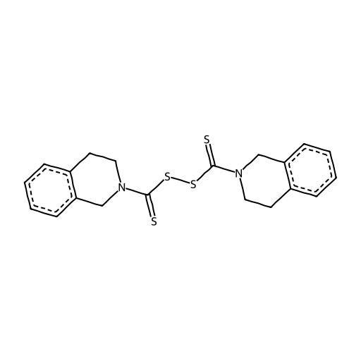 S=C(SSC(=S)N1CCc2ccccc2C1)N1CCc2ccccc2C1